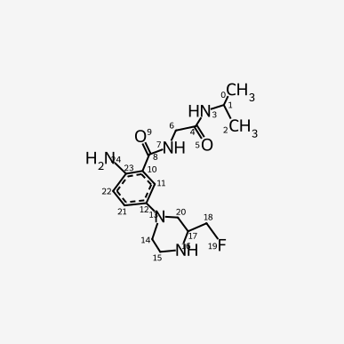 CC(C)NC(=O)CNC(=O)c1cc(N2CCNC(CF)C2)ccc1N